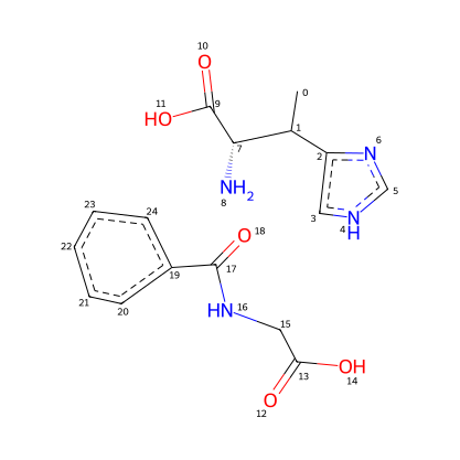 CC(c1c[nH]cn1)[C@H](N)C(=O)O.O=C(O)CNC(=O)c1ccccc1